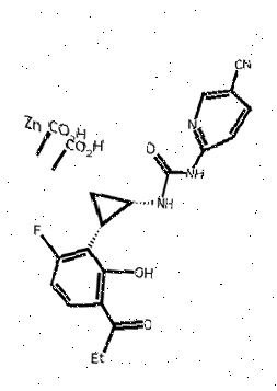 CC(=O)O.CC(=O)O.CCC(=O)c1ccc(F)c([C@@H]2C[C@@H]2NC(=O)Nc2ccc(C#N)cn2)c1O.[Zn]